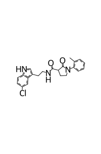 Cc1ccccc1N1CCC(C(=O)NCCc2c[nH]c3ccc(Cl)cc23)C1=O